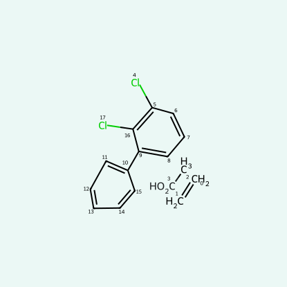 C=C.CC(=O)O.Clc1cccc(-c2ccccc2)c1Cl